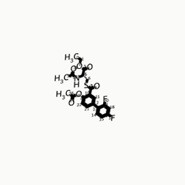 CCOC(=O)[C@H](CSC(=O)c1cc(-c2ccc(F)cc2F)ccc1OC(C)=O)NC(C)=O